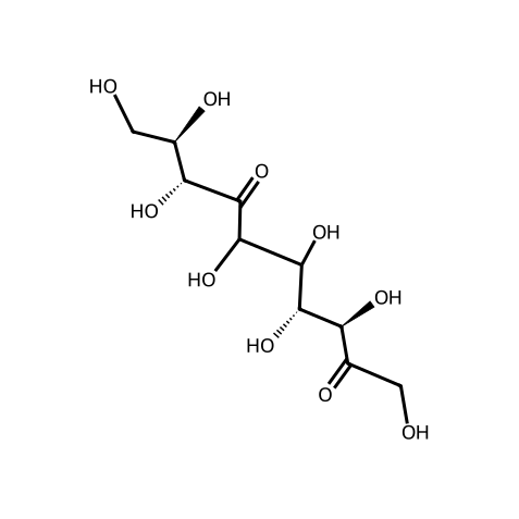 O=C(C(O)C(O)[C@@H](O)[C@@H](O)C(=O)CO)[C@H](O)[C@H](O)CO